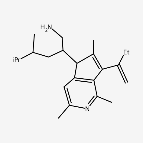 C=C(CC)C1=C(C)C(C(CN)CC(C)C(C)C)c2cc(C)nc(C)c21